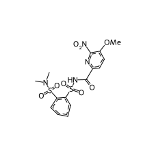 COc1ccc(C(=O)NS(=O)(=O)c2ccccc2S(=O)(=O)N(C)C)nc1[N+](=O)[O-]